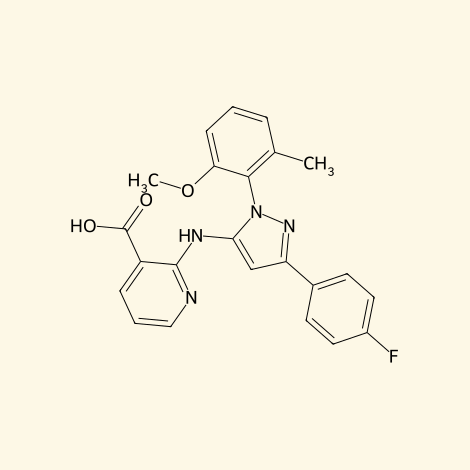 COc1cccc(C)c1-n1nc(-c2ccc(F)cc2)cc1Nc1ncccc1C(=O)O